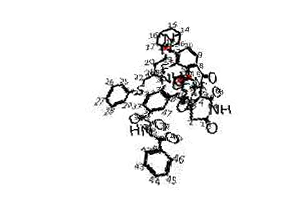 O=C1CCC(N2C(=O)c3ccc(CN4C5CC4CN(CC[C@H](CSc4ccccc4)Nc4ccc(S(=O)(=O)NC(=O)c6ccccc6)cc4S(=O)(=O)C(F)(F)F)C5)c(F)c3C2=O)C(=O)N1